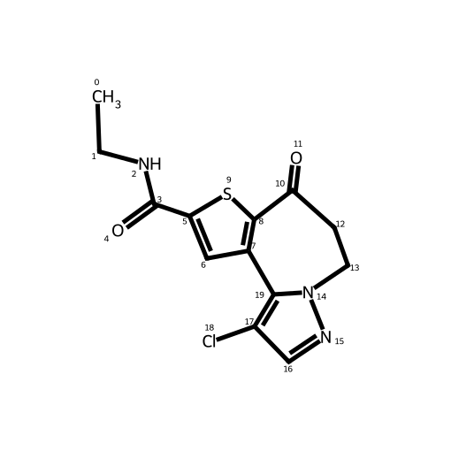 CCNC(=O)c1cc2c(s1)C(=O)CCn1ncc(Cl)c1-2